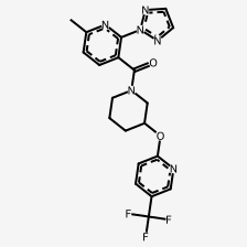 Cc1ccc(C(=O)N2CCCC(Oc3ccc(C(F)(F)F)cn3)C2)c(-n2nccn2)n1